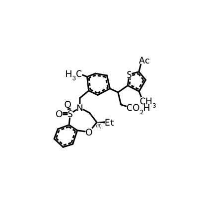 CC[C@@H]1CN(Cc2cc(C(CC(=O)O)c3sc(C(C)=O)cc3C)ccc2C)S(=O)(=O)c2ccccc2O1